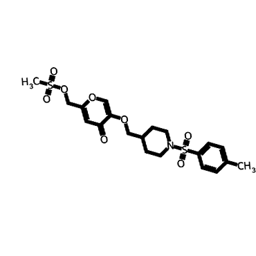 Cc1ccc(S(=O)(=O)N2CCC(COc3coc(COS(C)(=O)=O)cc3=O)CC2)cc1